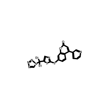 CCC(CC)(c1cnc(Sc2ccc3c(-c4cccnc4)cc(=O)oc3c2)s1)n1cnnn1